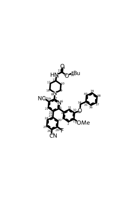 COc1ccc(-c2nc(N3CCC(NC(=O)OC(C)(C)C)CC3)c(C#N)cc2-c2ccc(C#N)c(F)c2)cc1OCc1ccccc1